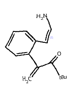 C=C(C(=O)C(C)(C)C)c1ccccc1/C=C\N